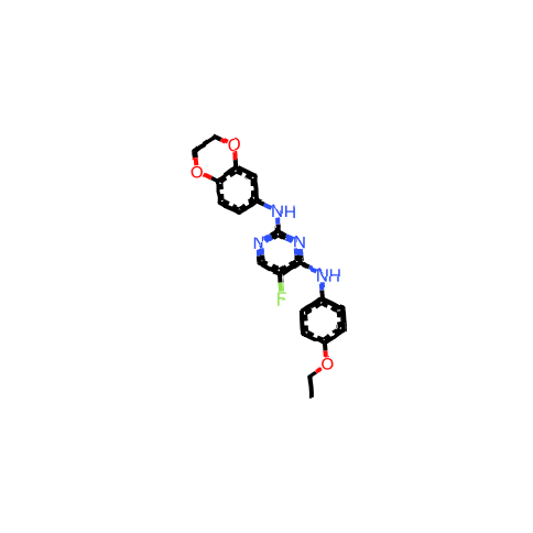 CCOc1ccc(Nc2nc(Nc3ccc4c(c3)OCCO4)ncc2F)cc1